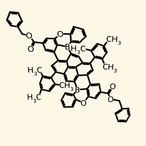 Cc1cc(C)c(-c2cc3c4c(cc5c(-c6c(C)cc(C)cc6C)cc6c7c(cc2c4c57)B2c4ccccc4Oc4cc(C(=O)OCc5ccccc5)cc-6c42)B2c4ccccc4Oc4cc(C(=O)OCc5ccccc5)cc-3c42)c(C)c1